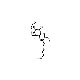 COCCOCOc1cc2c(cc1CI)C(=O)[C@@H]1[C@H](C)[C@]2(C)CCN1CC1CC1